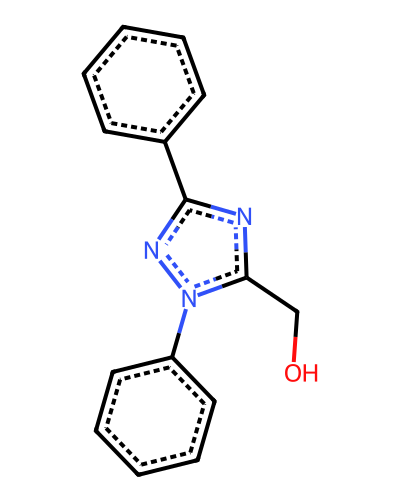 OCc1nc(-c2ccccc2)nn1-c1ccccc1